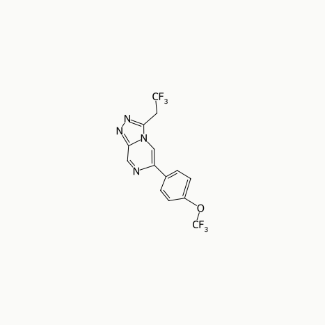 FC(F)(F)Cc1nnc2cnc(-c3ccc(OC(F)(F)F)cc3)cn12